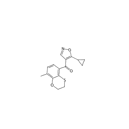 Cc1ccc(C(=O)c2cnoc2C2CC2)c2c1OCCS2